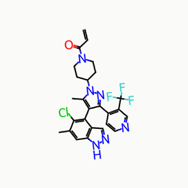 C=CC(=O)N1CCC(n2nc(-c3ccncc3C(F)(F)F)c(-c3c(Cl)c(C)cc4[nH]ncc34)c2C)CC1